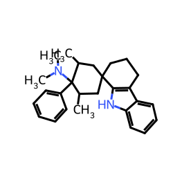 CC1CC2(CCCc3c2[nH]c2ccccc32)CC(C)C1(c1ccccc1)N(C)C